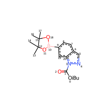 CC(C)COC(=O)n1ncc2ccc(B3OC(C)(C)C(C)(C)O3)cc21